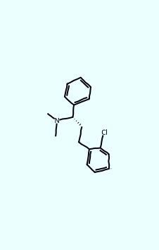 CN(C)[C@@H](CCc1cc[c]cc1Cl)c1ccccc1